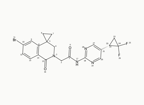 O=C(CN1CC2(CC2)c2cc(Br)ccc2C1=O)Nc1ncc([C@@H]2CC2(F)F)cn1